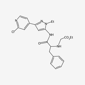 CCOC(=O)CNC(Cc1ccccc1)C(=O)Nc1cc(-c2ccnc(Cl)c2)nn1CC